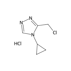 Cl.ClCc1nncn1C1CC1